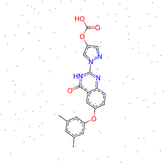 Cc1cc(C)cc(Oc2ccc3nc(-n4cc(OC(=O)O)cn4)[nH]c(=O)c3c2)c1